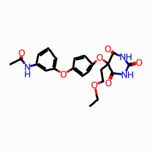 CCOCCC1(Oc2ccc(Oc3cccc(NC(C)=O)c3)cc2)C(=O)NC(=O)NC1=O